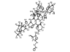 C=C1CC(CCC=O)OC1CCC1C[C@@H](C)C(=C)C(CC2O[C@H](CC(CO[Si](C)(C)C(C)(C)C)O[Si](C)(C)C(C)(C)C)[C@H](OC)C2CC(=O)CC2CC[C@@H]3OC([C@H](/C=C/I)O[Si](C)(C)C(C)(C)C)C(O[Si](C)(C)C(C)(C)C)C(O[Si](C)(C)C(C)(C)C)[C@H]3O2)O1